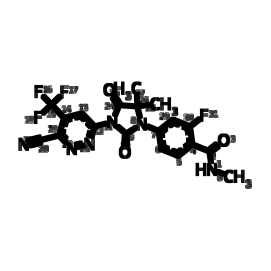 CNC(=O)c1ccc(N2C(=O)N(c3cc(C(F)(F)F)c(C#N)nn3)C(=O)C2(C)C)cc1F